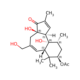 CC(=O)O[C@@H]1C[C@@H](C)[C@@]2(O)[C@@H](C=C(CO)C[C@]3(O)C(=O)C(C)=C[C@@H]23)C1(C)C